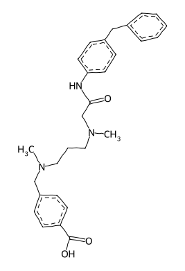 CN(CCCN(C)Cc1ccc(C(=O)O)cc1)CC(=O)Nc1ccc(Cc2ccccc2)cc1